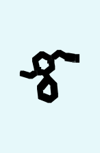 CCN1CCN(CC#N)CC1c1ccccc1